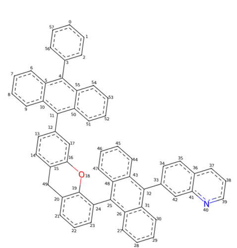 c1ccc(-c2c3ccccc3c(-c3ccc4c(c3)Oc3c(cccc3-c3c5ccccc5c(-c5ccc6cccnc6c5)c5ccccc35)C4)c3ccccc23)cc1